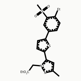 CCOC(=O)Cn1nc(C)cc1-c1ccc(-c2ccc(CC)c(S(C)(=O)=O)c2)s1